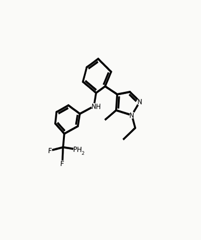 CCn1ncc(-c2ccccc2Nc2cccc(C(F)(F)P)c2)c1C